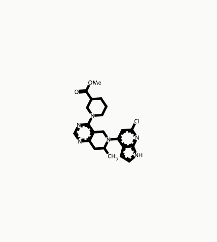 COC(=O)C1CCCN(c2ncnc3c2CN(c2cc(Cl)nc4[nH]ccc24)C(C)C3)C1